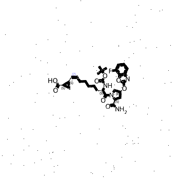 CC(C)(C)OC(=O)N[C@@H](CCCCC/C=C\[C@@H]1C[C@@H]1C(=O)O)C(=O)N1C[C@H](Oc2nc3cccc(F)c3o2)C[C@H]1C(N)=O